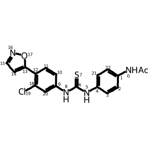 CC(=O)Nc1ccc(NC(=S)Nc2ccc(-c3ccno3)c(Cl)c2)cc1